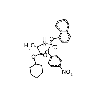 C[C@H](NP(=O)(Oc1ccc([N+](=O)[O-])cc1)Oc1cccc2ccccc12)C(=O)OC1CCCCC1